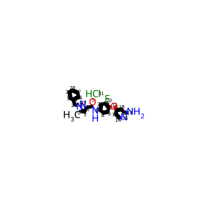 Cc1cc(C(=O)Nc2ccc(Oc3ccnc(N)c3)c(F)c2)nn1Cc1ccccc1.Cl